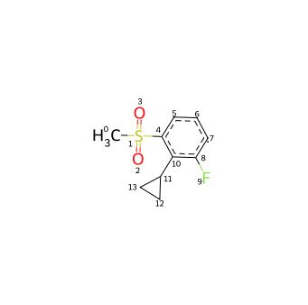 CS(=O)(=O)c1cc[c]c(F)c1C1CC1